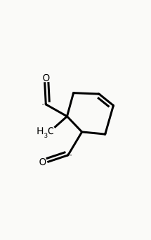 CC1([C]=O)CC=CCC1[C]=O